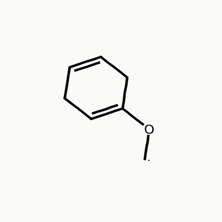 [CH2]OC1=CCC=CC1